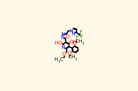 CCOCc1nc(O)c(-c2nnc(Cn3ccc(C(F)(F)F)n3)o2)c(O)c1-c1c(OC)cccc1OC